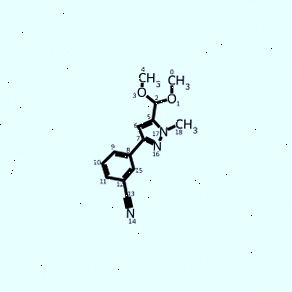 COC(OC)c1cc(-c2cccc(C#N)c2)nn1C